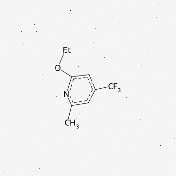 CCOc1cc(C(F)(F)F)cc(C)n1